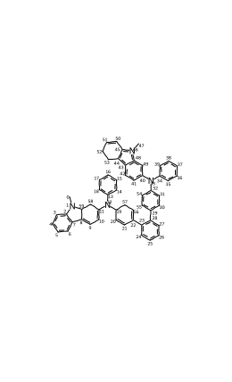 CN1c2ccccc2C2=CC=C(N(c3ccccc3)C3C=CC(c4ccccc4-c4ccc(N(c5ccccc5)c5ccc6c7c(n(C)c6c5)C=CCC7)cc4)=CC3)CC21